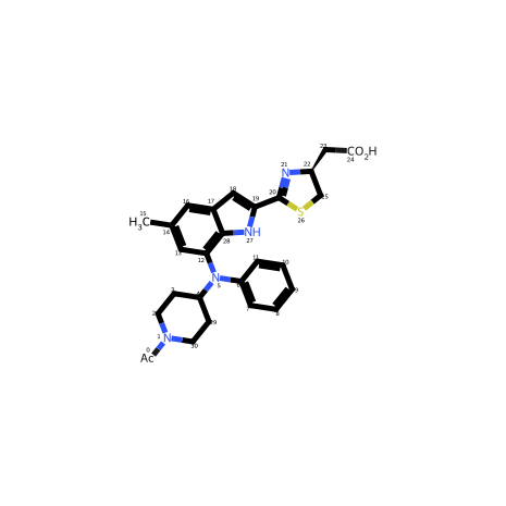 CC(=O)N1CCC(N(c2ccccc2)c2cc(C)cc3cc(C4=N[C@@H](CC(=O)O)CS4)[nH]c23)CC1